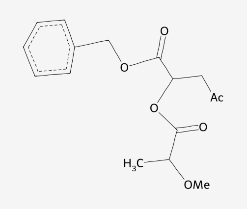 COC(C)C(=O)OC(CC(C)=O)C(=O)OCc1ccccc1